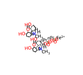 CCCS(=O)(=O)[O-].CCCS(=O)(=O)[O-].CN1CC[C@]23c4c5ccc(O)c4O[C@H]2[C@@H](O)C=C[C@H]3[C@H]1C5.CN1CC[C@]23c4c5ccc(O)c4O[C@H]2[C@@H](O)C=C[C@H]3[C@H]1C5.[Fe+2]